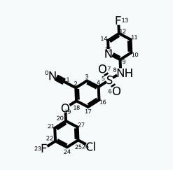 N#Cc1cc(S(=O)(=O)Nc2ccc(F)cn2)ccc1Oc1cc(F)cc(Cl)c1